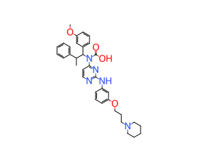 COc1cccc(C(C(C)c2ccccc2)N(C(=O)O)c2ccnc(Nc3cccc(OCCCN4CCCCC4)c3)n2)c1